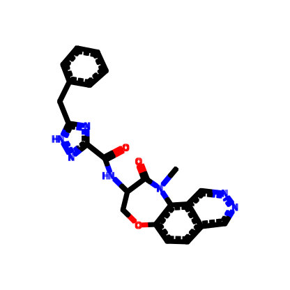 CN1C(=O)C(NC(=O)c2n[nH]c(Cc3ccccc3)n2)COc2ccc3cnncc3c21